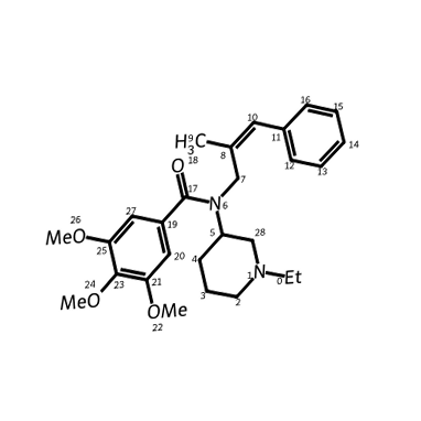 CCN1CCCC(N(C/C(C)=C\c2ccccc2)C(=O)c2cc(OC)c(OC)c(OC)c2)C1